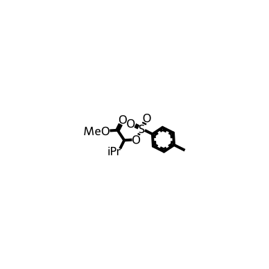 COC(=O)C(OS(=O)(=O)c1ccc(C)cc1)C(C)C